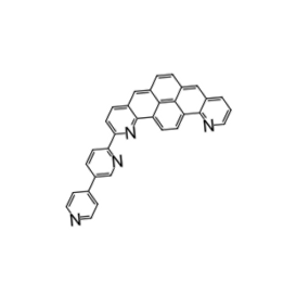 c1cnc2c(c1)cc1ccc3cc4ccc(-c5ccc(-c6ccncc6)cn5)nc4c4ccc2c1c34